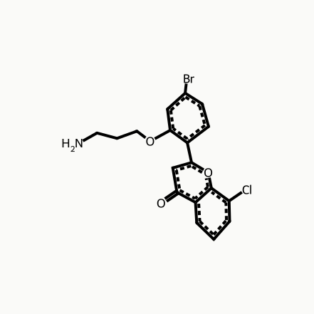 NCCCOc1cc(Br)ccc1-c1cc(=O)c2cccc(Cl)c2o1